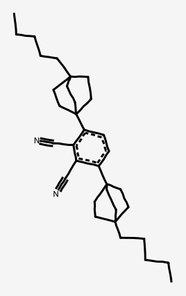 CCCCCC12CCC(c3ccc(C45CCC(CCCCC)(CC4)CC5)c(C#N)c3C#N)(CC1)CC2